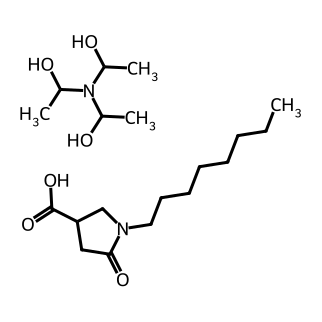 CC(O)N(C(C)O)C(C)O.CCCCCCCCN1CC(C(=O)O)CC1=O